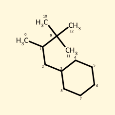 CC(CC1CCCCC1)C(C)(C)C